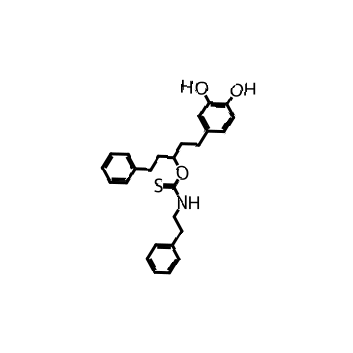 Oc1ccc(CCC(CCc2ccccc2)OC(=S)NCCc2ccccc2)cc1O